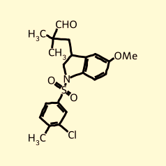 COc1ccc2c(c1)C(CC(C)(C)C=O)CN2S(=O)(=O)c1ccc(C)c(Cl)c1